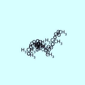 COC(=O)Oc1ccc(C(C)(C)c2ccc(OC(=O)Oc3ccc(CCC[Si](C)(C)O[Si](C)(C)O[Si](C)(C)CCCc4ccc(OC(=O)Oc5ccc(C(C)(C)c6ccccc6)cc5)c(OC)c4)cc3OC)cc2)cc1